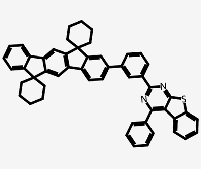 c1ccc(-c2nc(-c3cccc(-c4ccc5c(c4)C4(CCCCC4)c4cc6c(cc4-5)C4(CCCCC4)c4ccccc4-6)c3)nc3sc4ccccc4c23)cc1